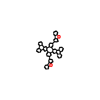 c1ccc2c(c1)oc1ccc(-c3ccc4c(c3)-c3cc5c6ccccc6c6ccccc6c5cc3-c3cc(-c5ccc6oc7ccccc7c6c5)ccc3-c3cc5c6ccccc6c6ccccc6c5cc3-4)cc12